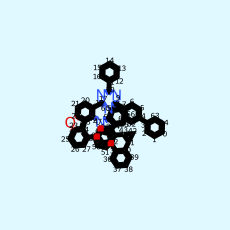 c1ccc(-c2ccc(-c3nc(-c4ccccc4)nc(-c4ccc5oc6cccc(-c7ccc8c(c7)-c7ccccc7C7CC87)c6c5c4-n4c5ccccc5c5ccccc54)n3)cc2)cc1